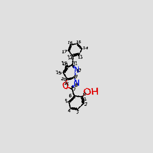 Oc1ccccc1-c1nc2nc(-c3ccccc3)ccc2o1